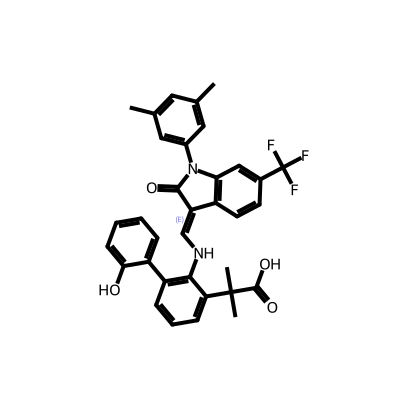 Cc1cc(C)cc(N2C(=O)/C(=C/Nc3c(-c4ccccc4O)cccc3C(C)(C)C(=O)O)c3ccc(C(F)(F)F)cc32)c1